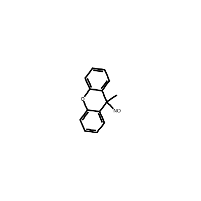 CC1(N=O)c2ccccc2Oc2ccccc21